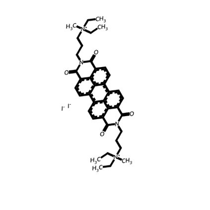 CC[N+](C)(CC)CCCN1C(=O)c2ccc3c4ccc5c6c(ccc(c7ccc(c2c37)C1=O)c64)C(=O)N(CCC[N+](C)(CC)CC)C5=O.[I-].[I-]